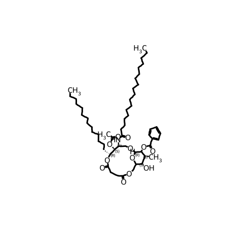 CCCCCCCCCCCCCCCCCC(=O)N[C@H]1CO[C@@H]2OC(COC(=O)CCC(=O)O[C@H](CCCCCCCCCCCCCC)[C@H]1OC(C)=O)[C@@H](O)[C@H](C)C2OC(=O)c1ccccc1